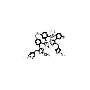 CCn1cc(Cc2nn(C)nc2-c2cc(F)ccc2[C@@H](C)Nc2ccc(Br)cc2O[C@H](C)c2cc(F)ccc2-c2nn(C)nc2Cc2cnn(CC)c2)cn1